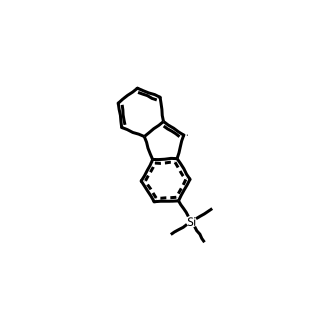 C[Si](C)(C)c1ccc2c(c1)[C]=C1C=CC=CC12